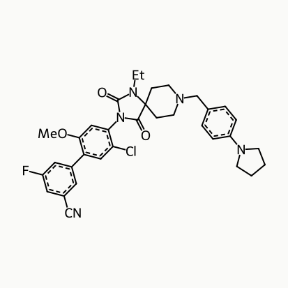 CCN1C(=O)N(c2cc(OC)c(-c3cc(F)cc(C#N)c3)cc2Cl)C(=O)C12CCN(Cc1ccc(N3CCCC3)cc1)CC2